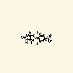 O=C1N[C@@H]2CN(c3c(F)cc([N+](=O)[O-])cc3F)C[C@@H]2O1